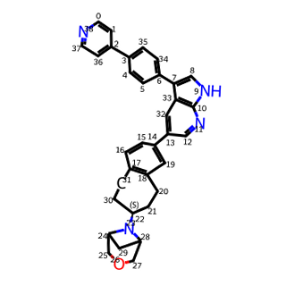 c1cc(-c2ccc(-c3c[nH]c4ncc(-c5ccc6c(c5)CC[C@@H](N5C7COCC5C7)CC6)cc34)cc2)ccn1